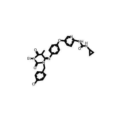 CCN1C(=O)C(C)/C(=N\c2ccc(Oc3ccc(NC(=O)NC4CC4)nc3)cc2)N(Cc2ccc(Cl)cc2)C1=O